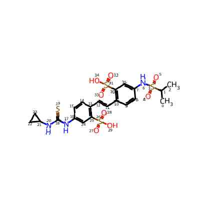 CC(C)S(=O)(=O)Nc1ccc(C=Cc2ccc(NC(=S)NC3CC3)cc2S(=O)(=O)O)c(S(=O)(=O)O)c1